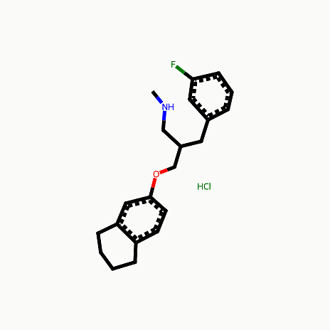 CNCC(COc1ccc2c(c1)CCCC2)Cc1cccc(F)c1.Cl